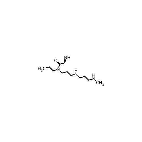 CCCN(CCCNCCCNC)C(=O)C=N